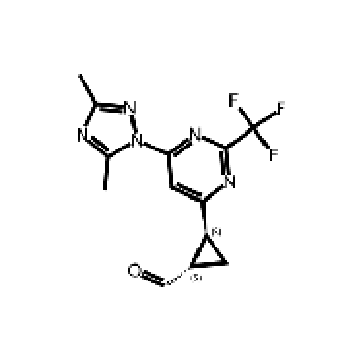 Cc1nc(C)n(-c2cc([C@H]3C[C@@H]3C=O)nc(C(F)(F)F)n2)n1